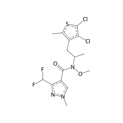 CON(C(=O)c1cn(C)nc1C(F)F)C(C)Cc1c(C)sc(Cl)c1Cl